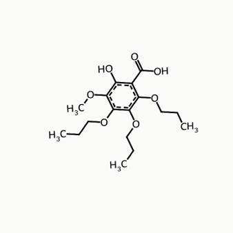 CCCOc1c(OC)c(O)c(C(=O)O)c(OCCC)c1OCCC